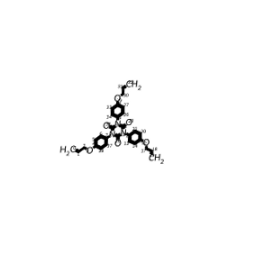 C=CCOc1ccc(-n2c(=O)n(-c3ccc(OCC=C)cc3)c(=O)n(-c3ccc(OCC=C)cc3)c2=O)cc1